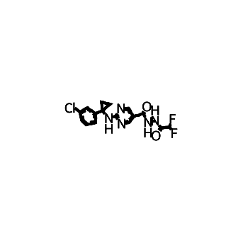 O=C(NNC(=O)C(F)F)c1cnc(NC2(c3cccc(Cl)c3)CC2)nc1